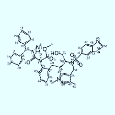 COC(=O)N(C(=O)[C@@H](N)C(c1ccccc1)c1ccccc1)c1ccccc1CC[C@@H](CO)N(Cc1cn(C)nc1C)S(=O)(=O)c1ccc2ncsc2c1